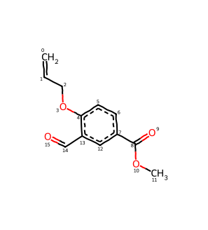 C=CCOc1ccc(C(=O)OC)cc1C=O